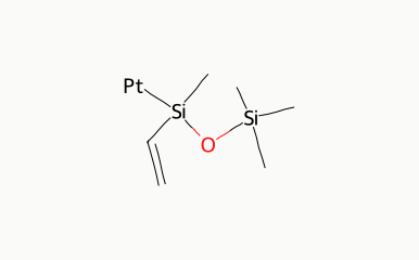 C=C[Si](C)([Pt])O[Si](C)(C)C